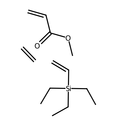 C=C.C=CC(=O)OC.C=C[Si](CC)(CC)CC